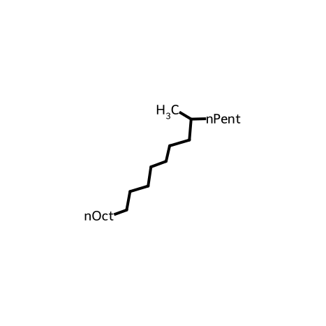 [CH2]CCCCC(C)CCCCCCCCCCCCCCC